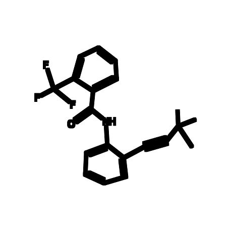 CC(C)(C)C#Cc1ccccc1NC(=O)c1ccccc1C(F)(F)F